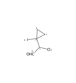 O=CC(Cl)C1(I)CC1